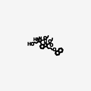 CCOCc1n[nH]c(CCO)c1-c1cccc2c(CCCOc3cccc4ccccc34)c(C(=O)OCC)[nH]c12